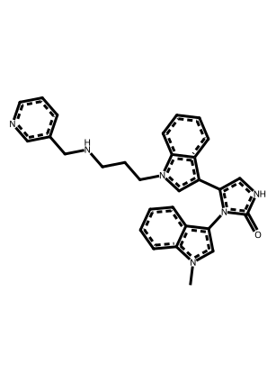 Cn1cc(-n2c(-c3cn(CCCNCc4cccnc4)c4ccccc34)c[nH]c2=O)c2ccccc21